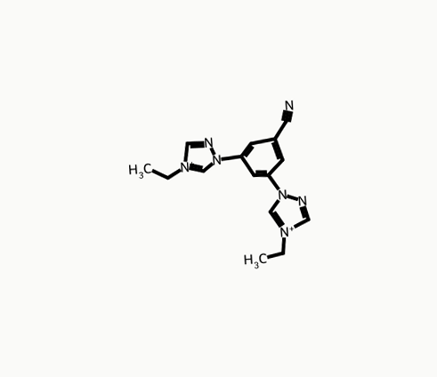 CC[n+]1cnn(-c2cc(C#N)cc(-n3c[n+](CC)cn3)c2)c1